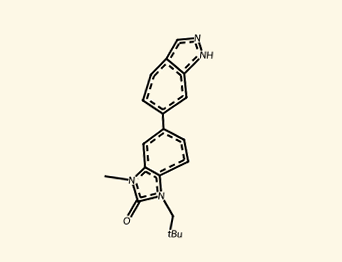 Cn1c(=O)n(CC(C)(C)C)c2ccc(-c3ccc4cn[nH]c4c3)cc21